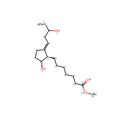 CCCCCC(O)CC=C1CC[C@H](O)[C@@H]1CCCCCCC(=O)OCCCC